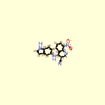 N#Cc1cnc2c([N+](=O)[O-])cccc2c1Nc1ccc2[nH]ccc2c1